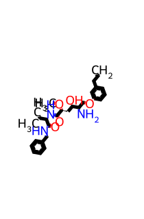 C=CCc1cccc(OC[C@H](N)[C@H](O)C[C@@H](OC)C(=O)N[C@H](C(=O)NCc2ccccc2)C(C)C)c1